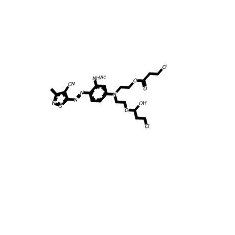 CC(=O)Nc1cc(N(CCOC(=O)CCCl)CCOC(O)CCCl)ccc1/N=N/c1snc(C)c1C#N